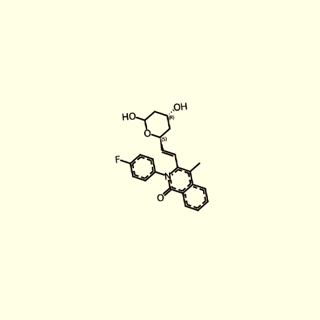 Cc1c(C=C[C@@H]2C[C@@H](O)CC(O)O2)n(-c2ccc(F)cc2)c(=O)c2ccccc12